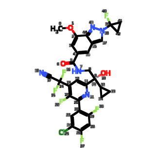 COc1cc(C(=O)NC[C@](O)(c2cc(C(F)(F)C#N)c(F)c(-c3cc(Cl)c(F)cc3F)n2)C2CC2)cc2cn(C3(F)CC3)nc12